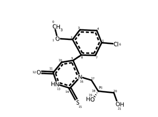 COc1ccc(Cl)cc1-c1cc(=O)[nH]c(=S)n1C[C@@H](O)CO